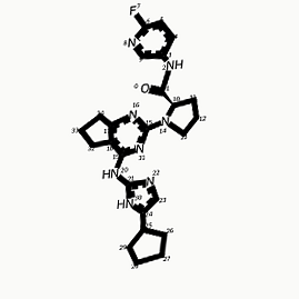 O=C(Nc1ccc(F)nc1)[C@H]1CCCN1c1nc2c(c(Nc3ncc(C4CCCC4)[nH]3)n1)CCC2